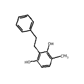 Cc1ccc(O)c(CCc2ccccc2)c1O